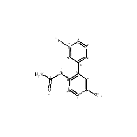 Cc1ccc(OC(N)=O)c(-c2cccc(F)c2)c1